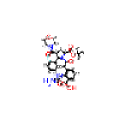 CC(C)(C)OC(=O)C1CC(C(=O)N2CCOCC2)C(c2ccccc2F)N1C(=O)Cc1cccc(C(=O)O)c1NC(N)=O